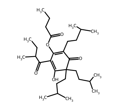 CCCC(=O)OC1=C(CCC(C)C)C(=O)C(CCC(C)C)(CCC(C)C)C(O)=C1C(=O)C(C)CC